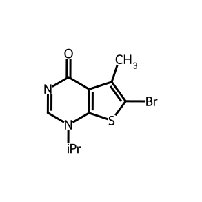 Cc1c(Br)sc2c1c(=O)ncn2C(C)C